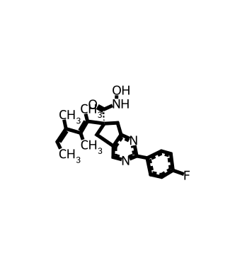 C/C=C(C)\C(C)=C(/C)[C@]1(C(=O)NO)Cc2cnc(-c3ccc(F)cc3)nc2C1